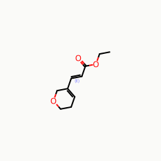 CCOC(=O)/C=C/C1=CCCOC1